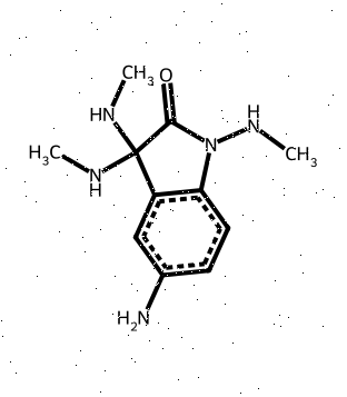 CNN1C(=O)C(NC)(NC)c2cc(N)ccc21